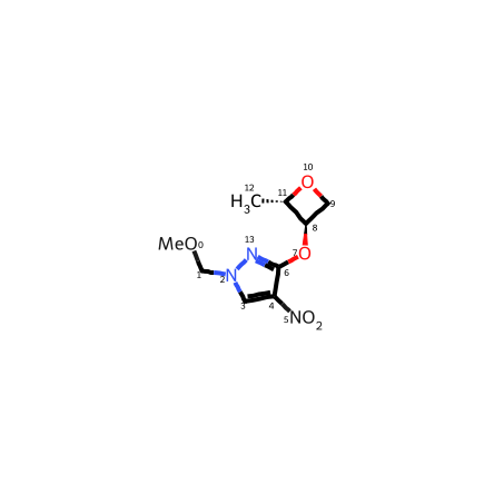 COCn1cc([N+](=O)[O-])c(O[C@@H]2CO[C@H]2C)n1